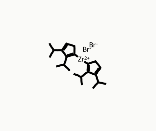 CC(C)C1=CC[C]([Zr+2][C]2=C(C(C)C)C(C(C)C)=CC2)=C1C(C)C.[Br-].[Br-]